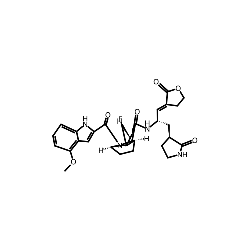 COc1cccc2[nH]c(C(=O)N3[C@@H]4CC[C@H]([C@H]3C(=O)N[C@H](/C=C3\CCOC3=O)C[C@@H]3CCNC3=O)C(F)(F)C4)cc12